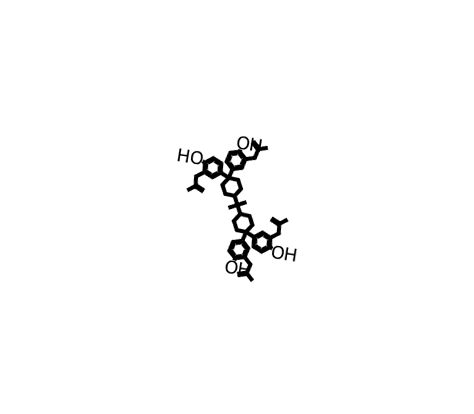 C=C(C)Cc1cc(C2(c3ccc(O)c(CC(=C)C)c3)CCC(C(C)(C)C3CCC(c4ccc(O)c(CC(=C)C)c4)(c4ccc(O)c(CC(=C)C)c4)CC3)CC2)ccc1O